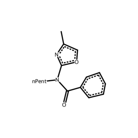 CCCCCN(C(=O)c1ccccc1)c1nc(C)co1